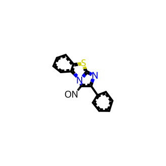 O=Nc1c(-c2ccccc2)nc2sc3ccccc3n12